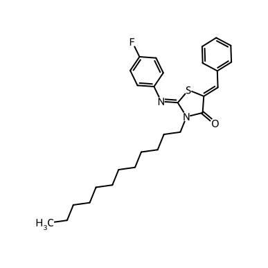 CCCCCCCCCCCCN1C(=O)C(=Cc2ccccc2)SC1=Nc1ccc(F)cc1